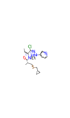 C/C=C(\C(Cl)=N/Nc1cccnc1)N(CC)C(=O)C(C)CSCC1CC1